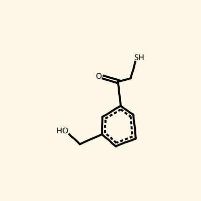 O=C(CS)c1cccc(CO)c1